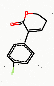 O=C1OCCC=C1c1ccc(F)cc1